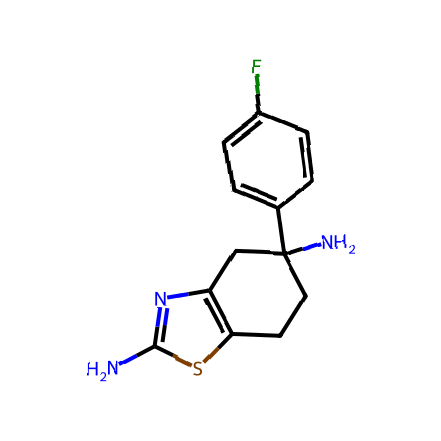 Nc1nc2c(s1)CCC(N)(c1ccc(F)cc1)C2